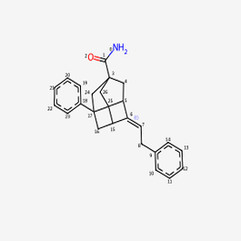 NC(=O)C12CC3/C(=C/Cc4ccccc4)C4CC(c5ccccc5)(C1)C34C2